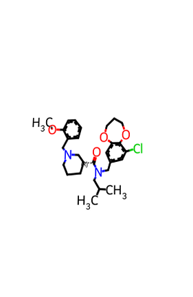 COc1ccccc1CN1CCC[C@@H](C(=O)N(Cc2cc(Cl)c3c(c2)OCCCO3)CC(C)C)C1